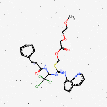 COCCOCC(=O)OCS/C(=N/c1cccc2cccnc12)NC(NC(=O)/C=C/c1ccccc1)C(Cl)(Cl)Cl